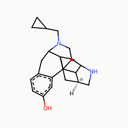 Oc1ccc2c(c1)C13CCN(CC4CC4)C(C2)C12CCC1NC[C@@H](C2)C13